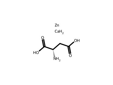 N[C@@H](CC(=O)O)C(=O)O.[CaH2].[Zn]